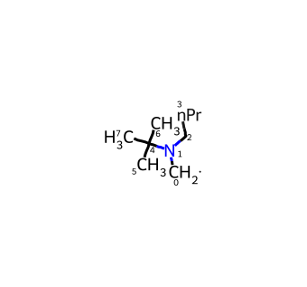 [CH2]N(CCCC)C(C)(C)C